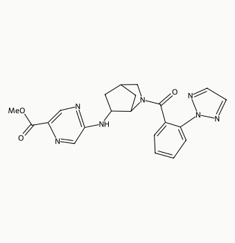 COC(=O)c1cnc(NC2CC3CC2N(C(=O)c2ccccc2-n2nccn2)C3)cn1